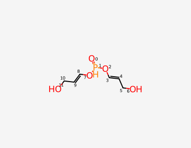 O=[PH](OC=CCO)OC=CCO